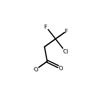 [O]C(=O)CC(F)(F)Cl